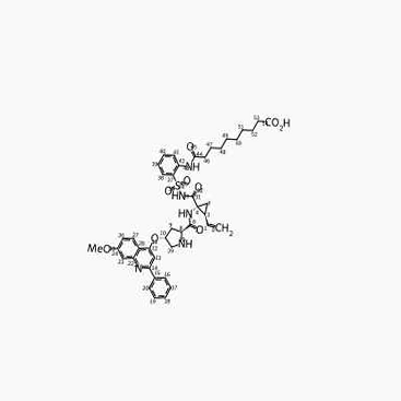 C=C[C@@H]1C[C@]1(NC(=O)[C@@H]1C[C@@H](Oc2cc(-c3ccccc3)nc3cc(OC)ccc23)CN1)C(=O)NS(=O)(=O)c1ccccc1NC(=O)CCCCCCCCC(=O)O